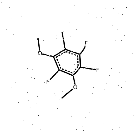 [CH2]c1c(F)c(F)c(OC)c(F)c1OC